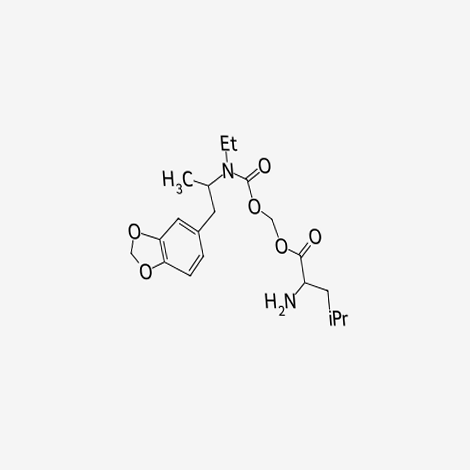 CCN(C(=O)OCOC(=O)C(N)CC(C)C)C(C)Cc1ccc2c(c1)OCO2